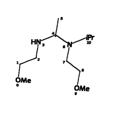 COCCN[C](C)N(CCOC)C(C)C